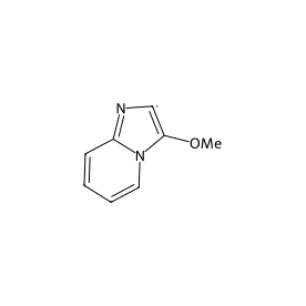 COc1[c]nc2ccccn12